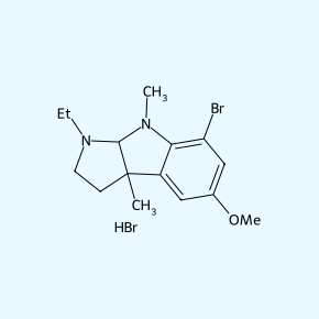 Br.CCN1CCC2(C)c3cc(OC)cc(Br)c3N(C)C12